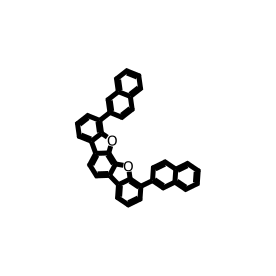 c1ccc2cc(-c3cccc4c3oc3c4ccc4c5cccc(-c6ccc7ccccc7c6)c5oc43)ccc2c1